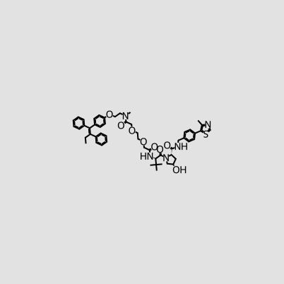 CC/C(=C(\c1ccccc1)c1ccc(OCCN(C)C(=O)COCCOCC(=O)N[C@H](C(=O)N2C[C@H](O)C[C@H]2C(=O)NCc2ccc(-c3scnc3C)cc2)C(C)(C)C)cc1)c1ccccc1